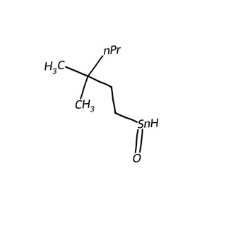 CCCC(C)(C)C[CH2][SnH]=[O]